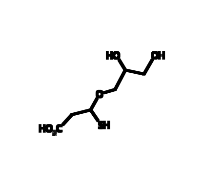 O=C(O)CC(S)OCC(O)CO